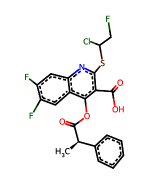 C[C@@H](C(=O)Oc1c(C(=O)O)c(SC(Cl)CF)nc2cc(F)c(F)cc12)c1ccccc1